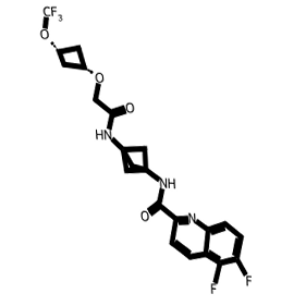 O=C(CO[C@H]1C[C@@H](OC(F)(F)F)C1)NC12CC(NC(=O)c3ccc4c(F)c(F)ccc4n3)(C1)C2